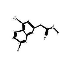 COC(=O)Cc1cc(O)c2ccc(F)cc2c1